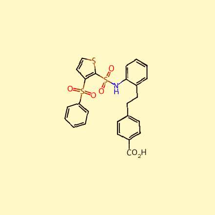 O=C(O)c1ccc(CCc2ccccc2NS(=O)(=O)c2sccc2S(=O)(=O)c2ccccc2)cc1